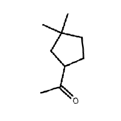 CC(=O)C1CCC(C)(C)C1